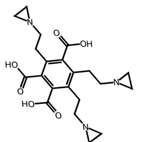 O=C(O)c1c(CCN2CC2)c(CCN2CC2)c(C(=O)O)c(C(=O)O)c1CCN1CC1